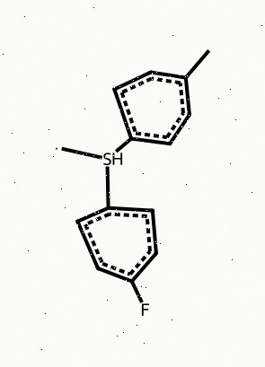 [CH2][SH](c1ccc(C)cc1)c1ccc(F)cc1